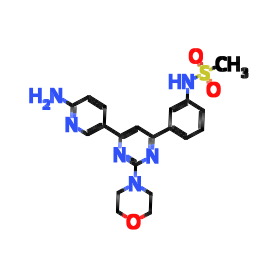 CS(=O)(=O)Nc1cccc(-c2cc(-c3ccc(N)nc3)nc(N3CCOCC3)n2)c1